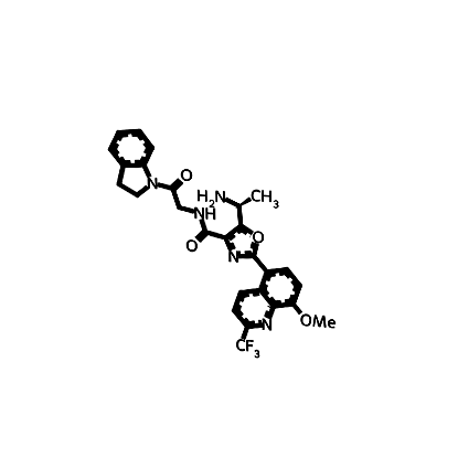 COc1ccc(-c2nc(C(=O)NCC(=O)N3CCc4ccccc43)c([C@H](C)N)o2)c2ccc(C(F)(F)F)nc12